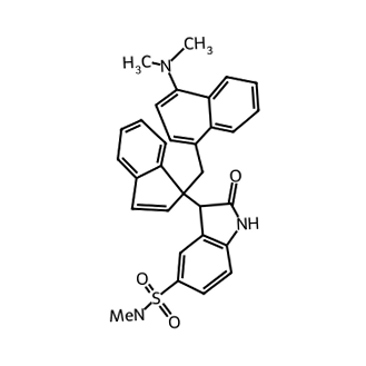 CNS(=O)(=O)c1ccc2c(c1)C(C1(Cc3ccc(N(C)C)c4ccccc34)C=Cc3ccccc31)C(=O)N2